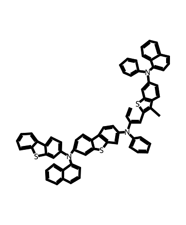 C=C/C(=C\c1sc2cc(N(c3ccccc3)c3cccc4ccccc34)ccc2c1C)N(c1ccccc1)c1ccc2c(c1)sc1cc(N(c3ccc4c(c3)sc3ccccc34)c3cccc4ccccc34)ccc12